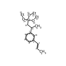 CC=Cc1cccc(C(C)C[Si](OCC)(OCC)OCC)c1